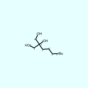 CC(C)(C)CCCC(O)(CO)CO